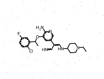 CCN1CCC(N/C=C(\C=N)c2cnc(N)c(OC(C)c3cc(F)ccc3Cl)c2)CC1